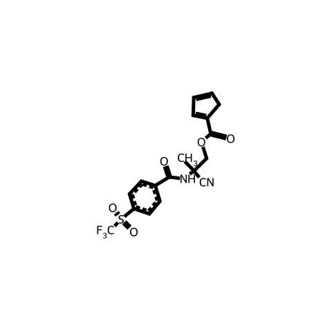 CC(C#N)(COC(=O)C1=CC=CC1)NC(=O)c1ccc(S(=O)(=O)C(F)(F)F)cc1